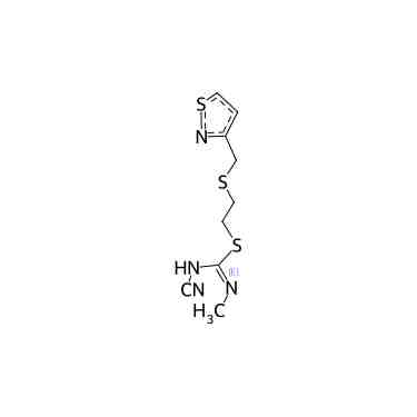 C/N=C(\NC#N)SCCSCc1ccsn1